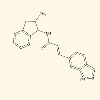 CC1Cc2ccccc2C1NC(=O)/C=C/c1ccc2cn[nH]c2c1